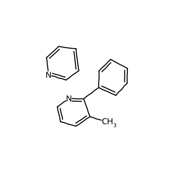 Cc1cccnc1-c1ccccc1.c1ccncc1